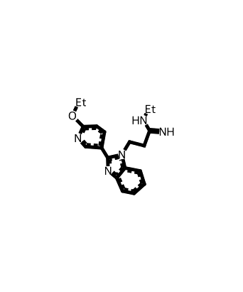 CCNC(=N)CCn1c(-c2ccc(OCC)nc2)nc2ccccc21